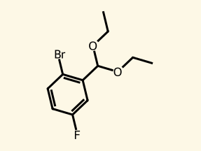 CCOC(OCC)c1cc(F)ccc1Br